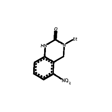 CCN1Cc2c(cccc2[N+](=O)[O-])NC1=O